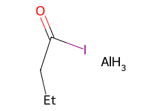 CCCC(=O)I.[AlH3]